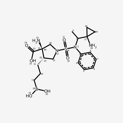 CC(N(c1ccccc1)S(=O)(=O)N1C[C@H](CCCB(O)O)[C@](N)(C(=O)O)C1)C1(N)CC1